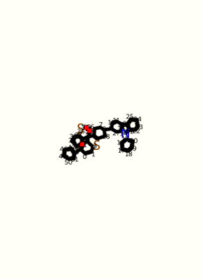 C1=CC2SC3=C(CCC(C4C=Cc5c(n(-c6ccccc6)c6ccccc56)C4)C3)C3(c4ccccc4Sc4ccccc43)C2C=C1c1ccccc1